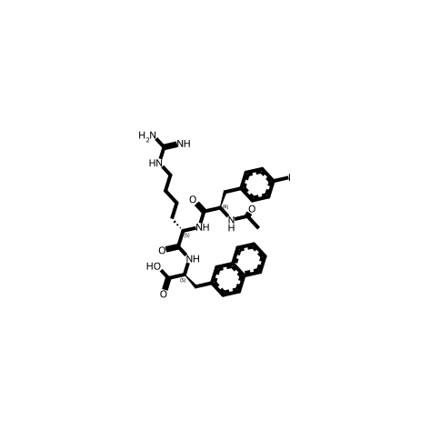 CC(=O)N[C@H](Cc1ccc(I)cc1)C(=O)N[C@@H](CCCCNC(=N)N)C(=O)N[C@@H](Cc1ccc2ccccc2c1)C(=O)O